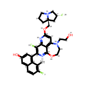 CCc1c(F)ccc2cc(O)cc(-c3nc4c5c(cc(OC[C@@]67CCCN6C[C@H](F)C7)nc5c3F)N(CCO)CCO4)c12